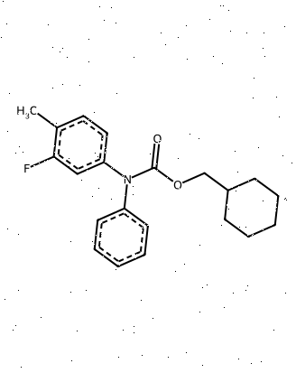 Cc1ccc(N(C(=O)OCC2CCCCC2)c2ccccc2)cc1F